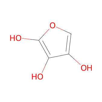 Oc1coc(O)c1O